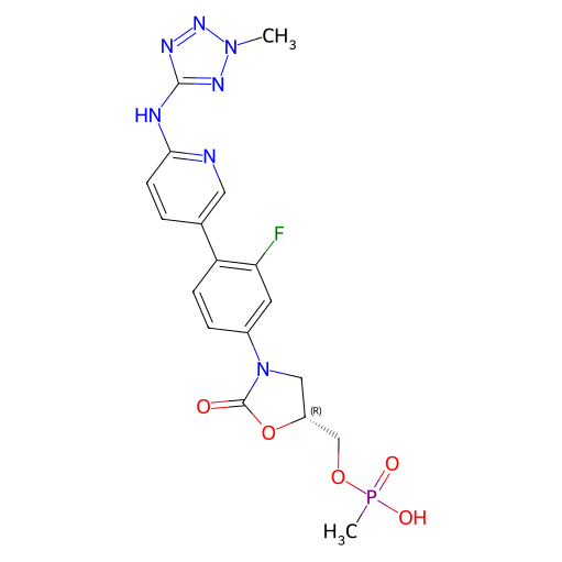 Cn1nnc(Nc2ccc(-c3ccc(N4C[C@H](COP(C)(=O)O)OC4=O)cc3F)cn2)n1